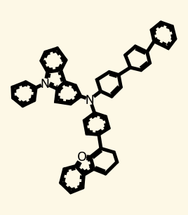 C1=CC(C2=CCC(N(c3ccc(C4=c5oc6ccccc6c5=CCC4)cc3)c3ccc4c(c3)c3ccccc3n4-c3ccccc3)C=C2)CC=C1c1ccccc1